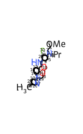 COCCN(c1ccc(NC(=O)c2cccc3c2OCCN3c2ccc(C)cn2)cc1F)C(C)C